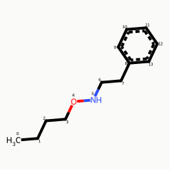 CCCCONCCc1ccccc1